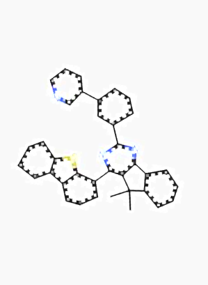 CC1(C)c2ccccc2-c2nc(-c3cccc(-c4cccnc4)c3)nc(-c3cccc4c3sc3ccccc34)c21